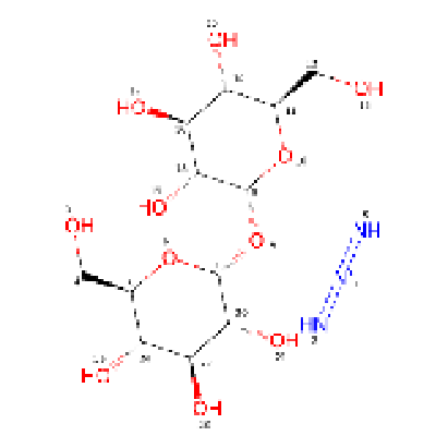 N=[N+]=N.OC[C@H]1O[C@H](O[C@H]2O[C@H](CO)[C@@H](O)[C@H](O)[C@H]2O)[C@H](O)[C@@H](O)[C@@H]1O